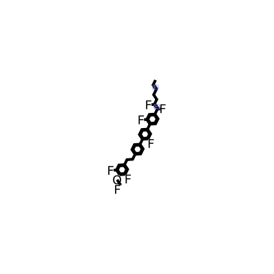 C/C=C/CC/C(F)=C(\F)c1ccc(-c2ccc(-c3ccc(CCc4cc(F)c(OCF)c(F)c4)cc3)c(F)c2)c(F)c1